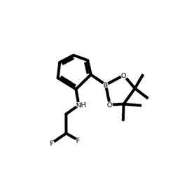 CC1(C)OB(c2ccccc2NCC(F)F)OC1(C)C